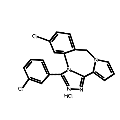 Cl.Clc1cccc(-c2nnc3n2-c2cc(Cl)ccc2Cn2cccc2-3)c1